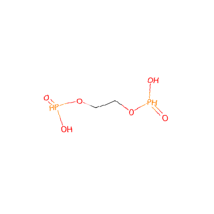 O=[PH](O)OCCO[PH](=O)O